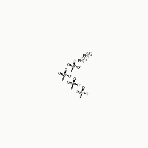 [O]=[Mn](=[O])([O-])[F].[O]=[Mn](=[O])([O-])[F].[O]=[Mn](=[O])([O-])[F].[O]=[Mn](=[O])([O-])[F].[PH4+].[PH4+].[PH4+].[PH4+]